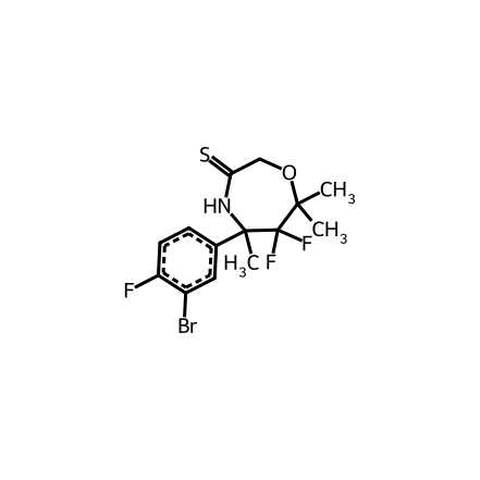 CC1(C)OCC(=S)NC(C)(c2ccc(F)c(Br)c2)C1(F)F